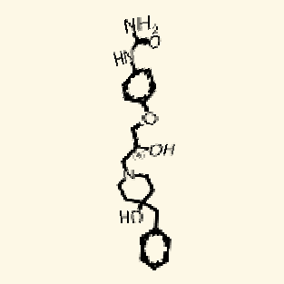 NC(=O)Nc1ccc(OC[C@@H](O)CN2CCC(O)(Cc3ccccc3)CC2)cc1